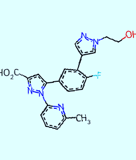 Cc1cccc(-n2nc(C(=O)O)cc2-c2ccc(F)c(-c3cnn(CCO)c3)c2)n1